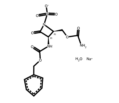 NC(=O)OC[C@H]1[C@@H](NC(=O)OCc2ccccc2)C(=O)N1S(=O)(=O)[O-].O.[Na+]